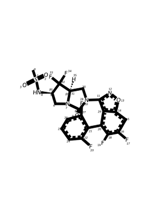 CS(=O)(=O)N[C@@H]1CN2C(=O)N(c3noc4cc(F)c(F)c(-c5c(F)cccc5F)c34)C[C@@H]2C1(F)F